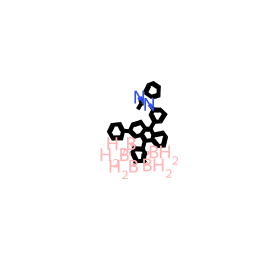 Bc1c(B)c(B)c(-c2c3ccccc3c(-c3cccc(-n4c(C)nc5ccccc54)c3)c3ccc(-c4ccccc4)cc23)c(B)c1B